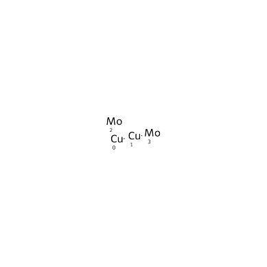 [Cu].[Cu].[Mo].[Mo]